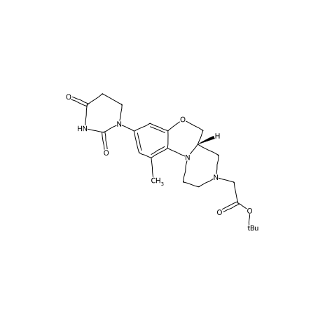 Cc1cc(N2CCC(=O)NC2=O)cc2c1N1CCN(CC(=O)OC(C)(C)C)C[C@H]1CO2